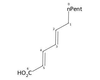 CCCCCCC=CC=CC(=O)O